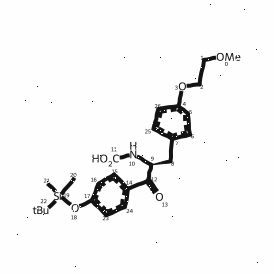 COCCOc1ccc(C[C@H](NC(=O)O)C(=O)c2ccc(O[Si](C)(C)C(C)(C)C)cc2)cc1